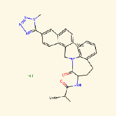 CNC(C)C(=O)NC1CCc2ccccc2N(Cc2c(OC)ccc3cc(-c4nnnn4C)ccc23)C1=O.Cl